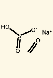 O=S([O-])O.[C]=O.[Na+]